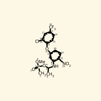 COP(C)(=O)OC(C)Nc1cc(Oc2ccc(C(F)(F)F)cc2Cl)ccc1[N+](=O)[O-]